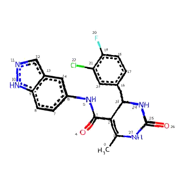 CC1=C(C(=O)Nc2ccc3[nH]ncc3c2)C(c2ccc(F)c(Cl)c2)NC(=O)N1